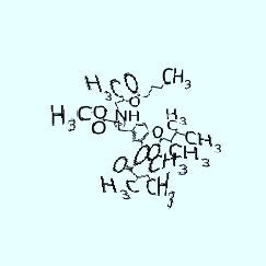 CCCCC(=O)OC(C)CN[C@@H](Cc1ccc(OC(=O)C(C)C(C)C)c(OC(=O)C(C)C(C)C)c1)C(=O)OC